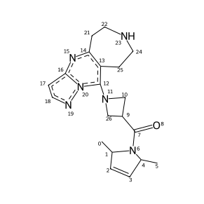 CC1C=CC(C)N1C(=O)C1CN(c2c3c(nc4ccnn24)CCNCC3)C1